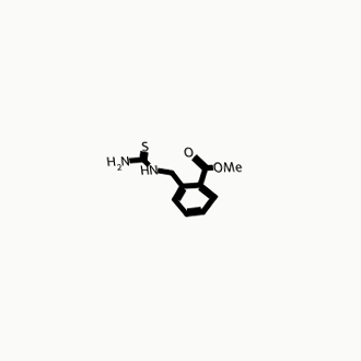 COC(=O)c1ccccc1CNC(N)=S